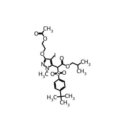 CC(=O)OCCOc1nn(C)c(C(C(=O)OCC(C)C)S(=O)(=O)c2ccc(C(C)(C)C)cc2)c1I